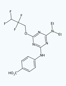 CCN(CC)c1nc(Nc2ccc(C(=O)O)cc2)nc(OCC(F)(F)C(F)F)n1